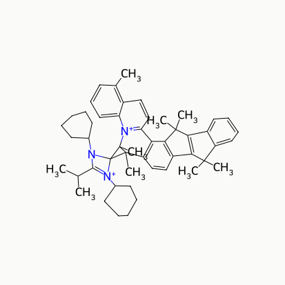 Cc1cccc2c1ccc1[n+]2C2(C)C(C)(c3ccc4c(c3-1)C(C)(C)C1=C4C(C)(C)c3ccccc31)C21N(C2CCCCC2)C(C(C)C)=[N+]1C1CCCCC1